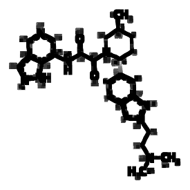 C[C@H]1CC[C@H](c2ccc3cn(CCN(C)C)nc3c2)N(C(=O)C(=O)Nc2cncc3cn[nH]c23)C1